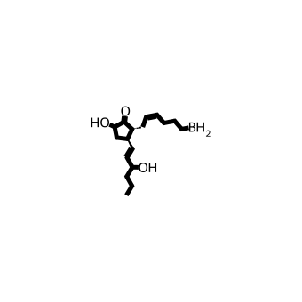 BCCC/C=C\C[C@H]1C(=O)C(O)C[C@@H]1/C=C/C(O)CCC